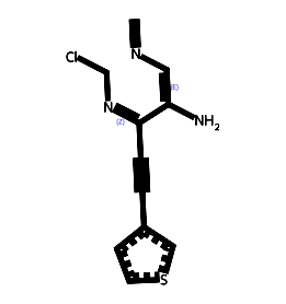 C=N/C=C(N)\C(C#Cc1ccsc1)=N/CCl